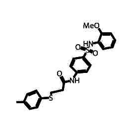 COc1ccccc1NS(=O)(=O)c1ccc(NC(=O)CCSc2ccc(C)cc2)cc1